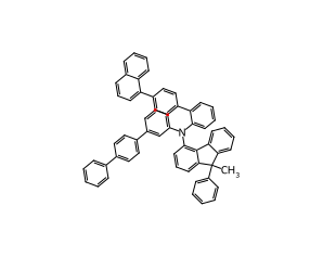 CC1(c2ccccc2)c2ccccc2-c2c(N(c3cccc(-c4ccc(-c5ccccc5)cc4)c3)c3ccccc3-c3ccc(-c4cccc5ccccc45)cc3)cccc21